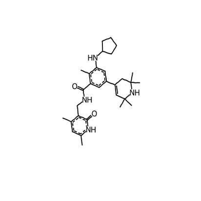 Cc1cc(C)c(CNC(=O)c2cc(C3=CC(C)(C)NC(C)(C)C3)cc(NC3CCCC3)c2C)c(=O)[nH]1